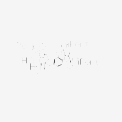 CCCC(C)OC(=O)Oc1ccc(CC(N)(C[C@H](C)OC(=O)OC(C)CCC)C(=O)O)cc1OC(=O)OC(C)CCC